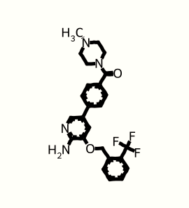 CN1CCN(C(=O)c2ccc(-c3cnc(N)c(OCc4ccccc4C(F)(F)F)c3)cc2)CC1